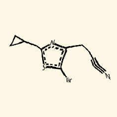 N#CCc1nc(C2CC2)sc1Br